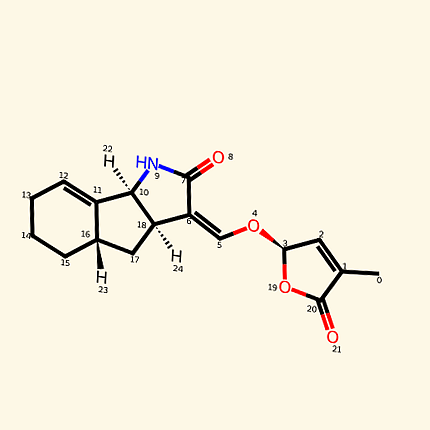 CC1=C[C@H](OC=C2C(=O)N[C@@H]3C4=CCCC[C@H]4C[C@H]23)OC1=O